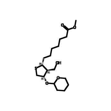 COC(=O)CCCCCC[C@H]1SC[C@@H](OC2CCCCO2)[C@@H]1CO